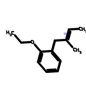 C/C=C(\C)Cc1ccccc1OCC